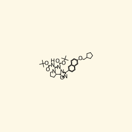 CC(C)(C)OC(=O)N=C(NC(=O)OC(C)(C)C)N1CCCC1c1nc(-c2ccc3cc(OCC4CCCC4)ccc3c2)no1